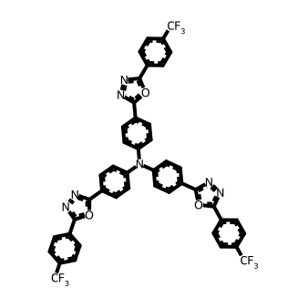 FC(F)(F)c1ccc(-c2nnc(-c3ccc(N(c4ccc(-c5nnc(-c6ccc(C(F)(F)F)cc6)o5)cc4)c4ccc(-c5nnc(-c6ccc(C(F)(F)F)cc6)o5)cc4)cc3)o2)cc1